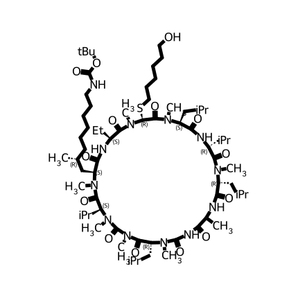 CC[C@@H]1NC(=O)[C@H](C[C@H](C)CCCCCCNC(=O)OC(C)(C)C)N(C)C(=O)[C@H](C(C)C)N(C)C(=O)N(C)C(=O)[C@@H](CC(C)C)N(C)C(=O)NC(=O)C(C)NC(=O)[C@@H](CC(C)C)N(C)C(=O)[C@@H](C(C)C)NC(=O)[C@H](CC(C)C)N(C)C(=O)[C@@H](SCCCCCCO)N(C)C1=O